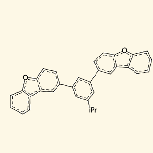 CC(C)c1cc(-c2ccc3oc4ccccc4c3c2)cc(-c2ccc3oc4ccccc4c3c2)c1